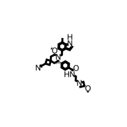 COc1cc(C)c2[nH]ccc2c1CN1CCC2(CC(C#N)C2)C[C@H]1c1ccc(C(=O)NCCN2CC(OC)C2)cc1